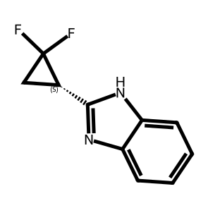 FC1(F)C[C@H]1c1nc2ccccc2[nH]1